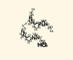 CCCCN1C=CN(c2cccc(N3C=CN(CCCC)C3)c2)C1.CCCCN1C=CN(c2cccc(N3C=CN(CCCC)C3)c2)C1.Cl.Cl